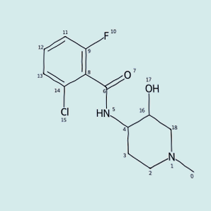 CN1CCC(NC(=O)c2c(F)cccc2Cl)C(O)C1